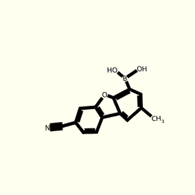 Cc1cc(B(O)O)c2oc3cc(C#N)ccc3c2c1